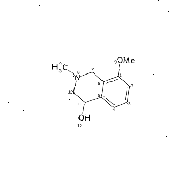 COc1c[c]cc2c1CN(C)CC2O